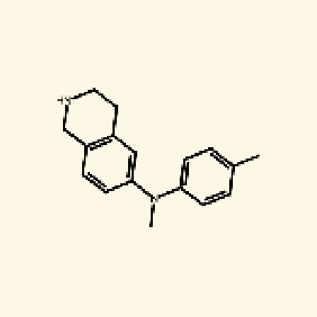 Cc1ccc(N(C)c2ccc3c(c2)CCNC3)cc1